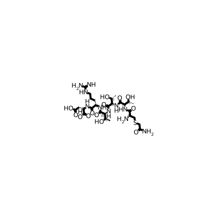 C[C@@H](O)[C@H](NC(=O)[C@@H](NC(=O)[C@@H](NC(=O)[C@@H](N)CSCC(N)=O)[C@@H](C)O)[C@@H](C)O)C(=O)N[C@@H](CCCNC(=N)N)C(=O)N[C@@H](CC(=O)O)C(=O)O